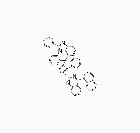 c1ccc(-c2nc3cccc4c3n2-c2ccccc2C42c3ccccc3-c3c(-c4nc(-c5cccc6ccccc56)c5ccccc5n4)cccc32)cc1